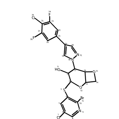 OC1C(Sc2cc(Cl)cnc2Br)OC2COC2C1n1cc(-c2cc(F)c(Cl)c(F)c2)cn1